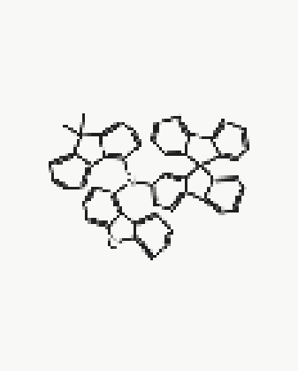 CC1(C)c2ccccc2-c2c(N(c3ccc4c(c3)C3(c5ccccc5-c5ccccc53)c3ccccc3-4)c3cccc4oc5ccccc5c34)cccc21